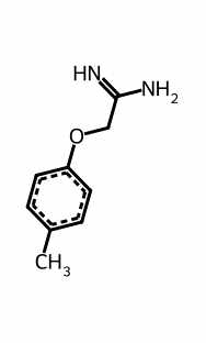 Cc1ccc(OCC(=N)N)cc1